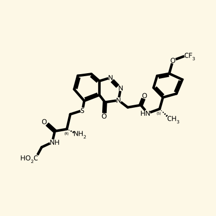 C[C@H](NC(=O)Cn1nnc2cccc(SC[C@H](N)C(=O)NCC(=O)O)c2c1=O)c1ccc(OC(F)(F)F)cc1